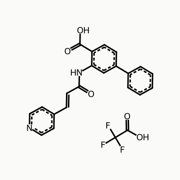 O=C(C=Cc1ccncc1)Nc1cc(-c2ccccc2)ccc1C(=O)O.O=C(O)C(F)(F)F